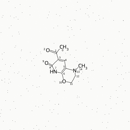 CC(=O)c1cc2c([nH]c1=O)OCCN2C